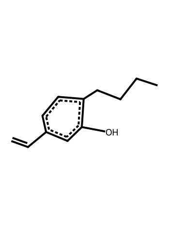 C=Cc1ccc(CCCC)c(O)c1